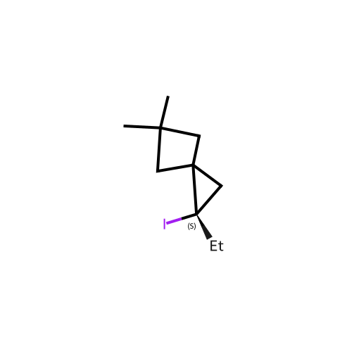 CC[C@]1(I)CC12CC(C)(C)C2